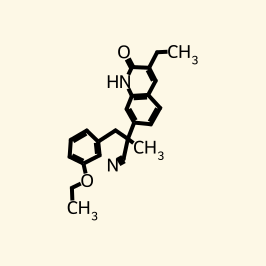 CCOc1cccc(CC(C)(C#N)c2ccc3cc(CC)c(=O)[nH]c3c2)c1